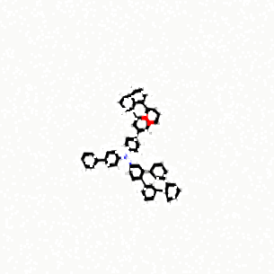 c1ccc(-c2ccc(N(c3ccc(-c4cccc(-c5ccccc5-c5ccccc5)c4)cc3)c3ccc(-c4cccc(-c5cccc6cccc(-c7ccccc7)c56)c4)cc3)cc2)cc1